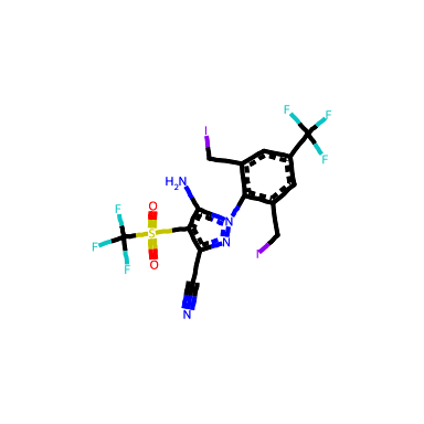 N#Cc1nn(-c2c(CI)cc(C(F)(F)F)cc2CI)c(N)c1S(=O)(=O)C(F)(F)F